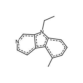 CCn1c2cnccc2c2c(C)cccc21